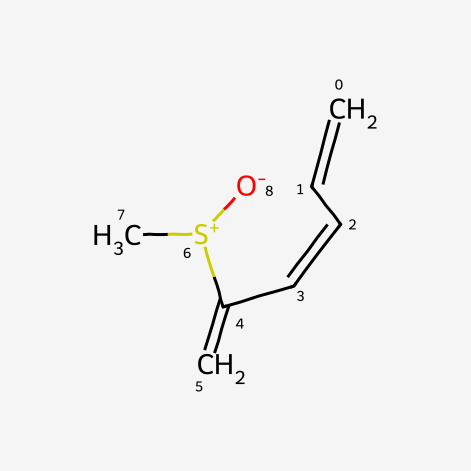 C=C/C=C\C(=C)[S+](C)[O-]